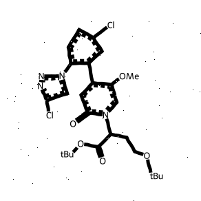 COc1cn(C(CCOC(C)(C)C)C(=O)OC(C)(C)C)c(=O)cc1-c1cc(Cl)ccc1-n1cc(Cl)nn1